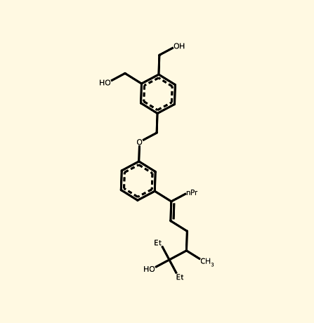 CCC/C(=C\CC(C)C(O)(CC)CC)c1cccc(OCc2ccc(CO)c(CO)c2)c1